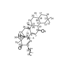 [C-]#[N+]C1=C[C@]2(C)C3=CC(=O)C4C5CC(C)(C)CC[C@]5(C)CC[C@@]4(C)[C@]3(C)CC[C@H]2C(C)(C)C1=O